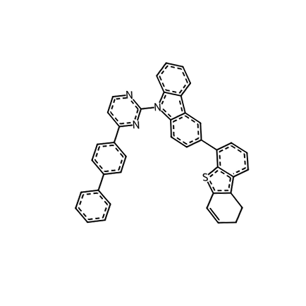 C1=Cc2sc3c(-c4ccc5c(c4)c4ccccc4n5-c4nccc(-c5ccc(-c6ccccc6)cc5)n4)cccc3c2CC1